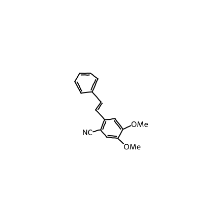 COc1cc(C#N)c(C=Cc2ccccc2)cc1OC